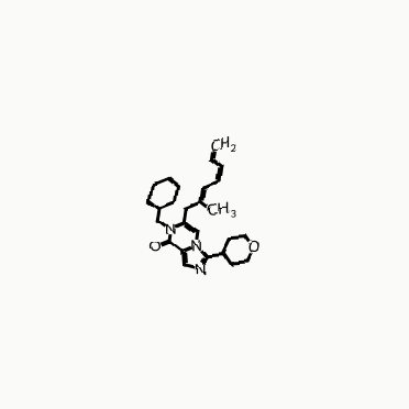 C=C/C=C\C=C(/C)Cc1cn2c(C3CCOCC3)ncc2c(=O)n1CC1CCCCC1